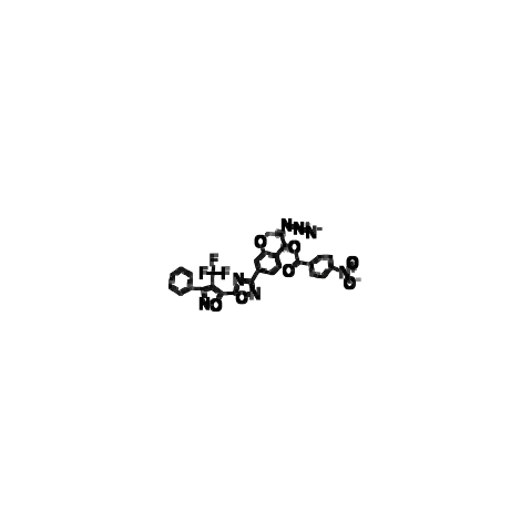 [N-]=[N+]=N[C@@H]1COc2cc(-c3noc(-c4onc(-c5ccccc5)c4C(F)(F)F)n3)ccc2[C@H]1OC(=O)c1ccc([N+](=O)[O-])cc1